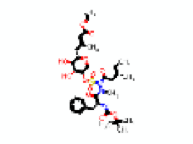 CCOC(=O)/C=C(\C)C[C@@H]1OC[C@@H](OS(=O)(=O)N(C(=O)C[C@@H](C)CC)N(C)C(=O)[C@H](Cc2ccccc2)NC(=O)OC(C)(C)C)[C@H](O)[C@H]1O